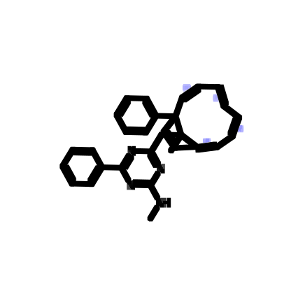 CNc1nc(CC2(C)\C3=C/C=C\C=C\C=C/C2(c2ccccc2)C=C3)nc(-c2ccccc2)n1